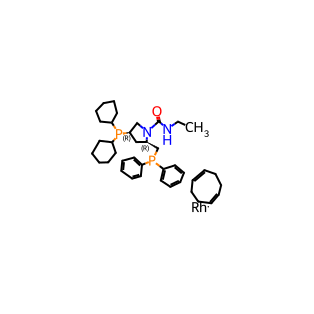 C1=CCCC=CCC1.CCNC(=O)N1C[C@H](P(C2CCCCC2)C2CCCCC2)C[C@@H]1CP(c1ccccc1)c1ccccc1.[Rh]